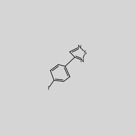 Ic1ccc(-c2cnsn2)cc1